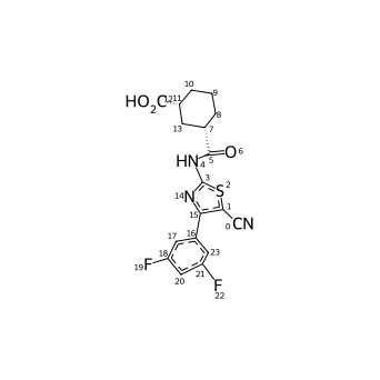 N#Cc1sc(NC(=O)[C@H]2CCC[C@@H](C(=O)O)C2)nc1-c1cc(F)cc(F)c1